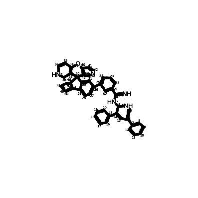 N=C(NC1NC=C(c2ccccc2)C=C1c1ccccc1)c1cccc(-c2ccc3c(c2)C2(C4=C(C=CNC4)Oc4ccncc42)c2ccccc2-3)c1